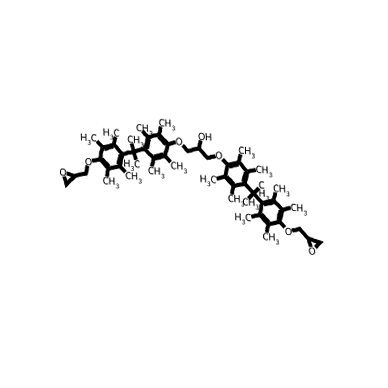 Cc1c(C)c(C(C)(C)c2c(C)c(C)c(OCC3CO3)c(C)c2C)c(C)c(C)c1OCC(O)COc1c(C)c(C)c(C(C)(C)c2c(C)c(C)c(OCC3CO3)c(C)c2C)c(C)c1C